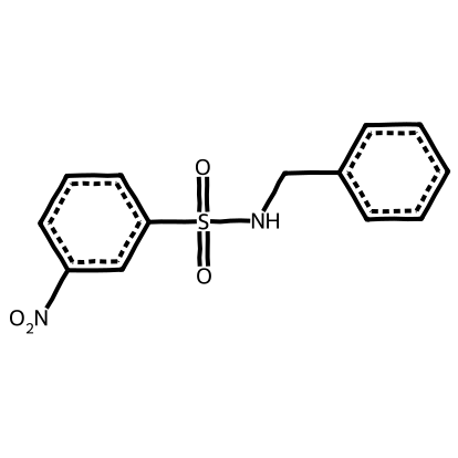 O=[N+]([O-])c1cccc(S(=O)(=O)NCc2ccccc2)c1